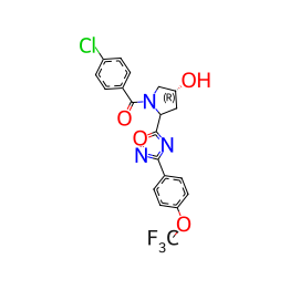 O=C(c1ccc(Cl)cc1)N1C[C@H](O)CC1c1nc(-c2ccc(OC(F)(F)F)cc2)no1